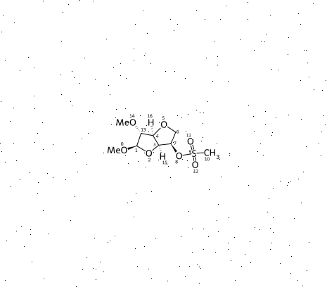 CO[C@@H]1O[C@H]2[C@H](OC[C@H]2OS(C)(=O)=O)[C@H]1OC